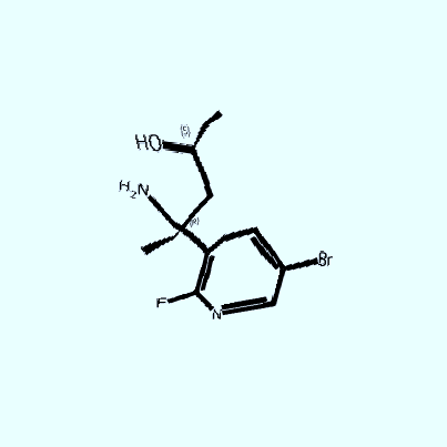 C[C@H](O)C[C@@](C)(N)c1cc(Br)cnc1F